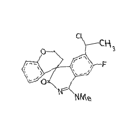 CNC1=NC(=O)C2(CCOc3ccccc32)c2cc(C(C)Cl)c(F)cc21